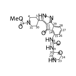 COC(=O)N1CCC(c2[nH]nc3c2C(=O)c2c(NC(=O)NC4CNCCO4)cccc2-3)CC1